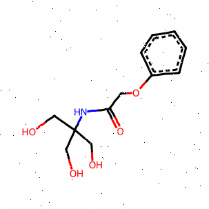 O=C(COc1ccccc1)NC(CO)(CO)CO